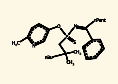 CCCCCC(=NP(=S)(CC(C)(C)CCCC)Oc1ccc(C)nc1)c1ccccc1